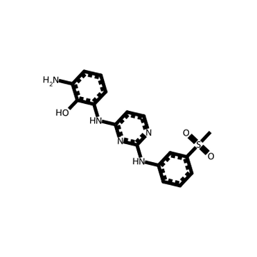 CS(=O)(=O)c1cccc(Nc2nccc(Nc3cccc(N)c3O)n2)c1